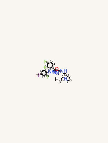 CN1CCCC1CCNc1nnc(-c2ccc(F)c(F)c2Nc2ccc(I)cc2F)o1